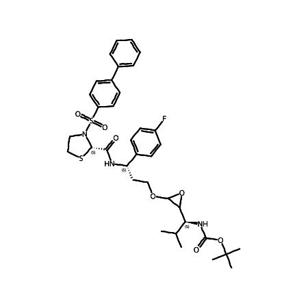 CC(C)[C@H](NC(=O)OC(C)(C)C)C1OC1OCC[C@H](NC(=O)[C@@H]1SCCN1S(=O)(=O)c1ccc(-c2ccccc2)cc1)c1ccc(F)cc1